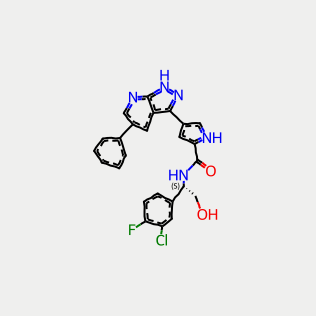 O=C(N[C@H](CO)c1ccc(F)c(Cl)c1)c1cc(-c2n[nH]c3ncc(-c4ccccc4)cc23)c[nH]1